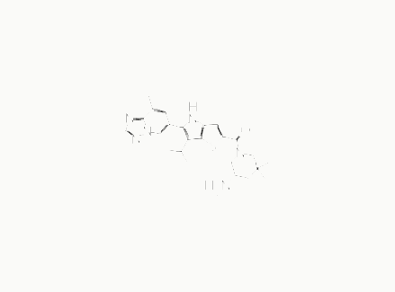 Cc1cc(-c2[nH]c3cc(C(=O)N4C[C@@H](N)CC(C)(C)C4)sc3c2C(C)C)cn2ncnc12